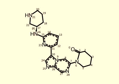 O=C1CCCCN1c1cn2c(-c3cccc(N[C@@H]4CCCNC4)n3)cnc2cn1